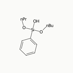 CCCCO[Si](O)(OCCC)c1ccccc1